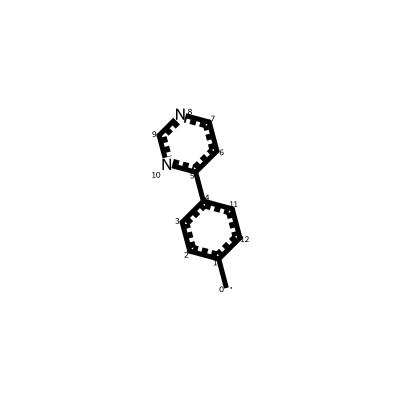 [CH2]c1ccc(-c2ccncn2)cc1